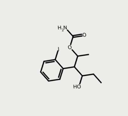 CCC(O)C(c1ccccc1I)C(C)OC(N)=O